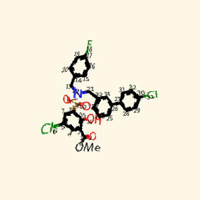 COC(=O)c1cc(Cl)cc(S(=O)(=O)N(Cc2ccc(F)cc2)Cc2cccc(-c3ccc(Cl)cc3)c2)c1O